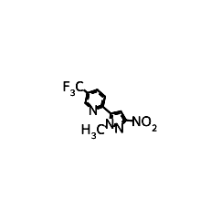 Cn1nc([N+](=O)[O-])cc1-c1ccc(C(F)(F)F)cn1